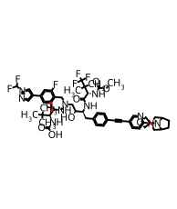 COC(=O)N[C@H](C(=O)N[C@@H](Cc1ccc(C#Cc2ccc(N3CC4CCC(C3)N4C3COC3)nc2)cc1)[C@@H](O)CN(Cc1c(F)cc(-c2cnn(C(F)F)c2)cc1F)NC(=O)[C@@H](NC(=O)O)C(C)(C)C)C(C)(C)C(F)(F)F